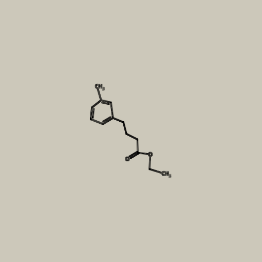 CCOC(=O)CCCc1cccc(C)c1